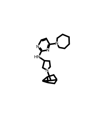 c1cc(N2CCCCCC2)nc(NC2CCN(C3C4CC5C(C4)C53)C2)n1